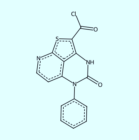 O=C(Cl)c1sc2nccc3c2c1NC(=O)N3c1ccccc1